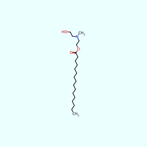 CCCCCCCCCCCCCCCC(=O)OCCN(C)CCO